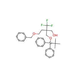 CC(C)(C)[Si](OCC(CO)(CCOCc1ccccc1)C(F)(F)F)(c1ccccc1)c1ccccc1